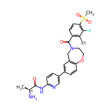 CCc1c(C(=O)N2CCOc3ccc(-c4ccc(NC(=O)[C@H](C)N)nc4)cc3C2)ccc(S(C)(=O)=O)c1F